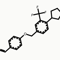 O=Cc1ccc(OCc2ccc(C3CCCC3)c(C(F)(F)F)c2)cc1